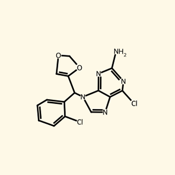 Nc1nc(Cl)c2ncn(C(C3=COCO3)c3ccccc3Cl)c2n1